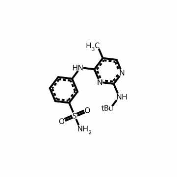 Cc1cnc(NC(C)(C)C)nc1Nc1cccc(S(N)(=O)=O)c1